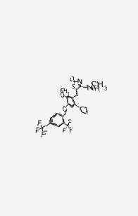 CNC1=NC(=O)S/C1=C\c1cc(OC)c(OCc2ccc(C(F)(F)F)cc2C(F)(F)F)cc1Cl